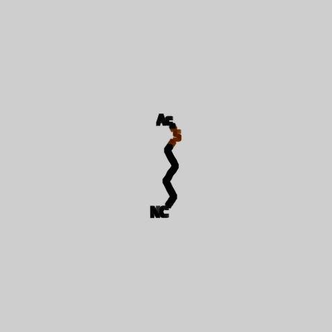 CC(=O)SCCCCC#N